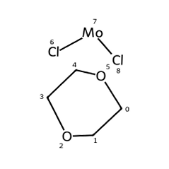 C1COCCO1.[Cl][Mo][Cl]